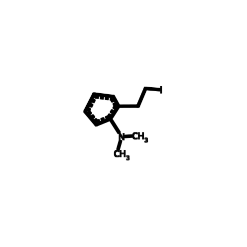 CN(C)c1ccccc1CCI